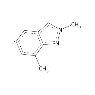 Cc1c[c]cc2cn(C)nc12